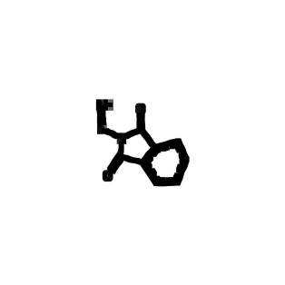 N=NN1C(=O)c2ccccc2C1=O